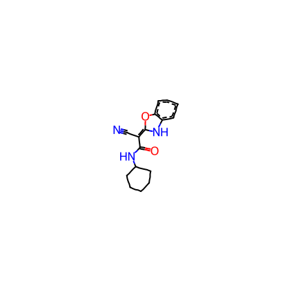 N#C/C(C(=O)NC1CCCCC1)=C1/Nc2ccccc2O1